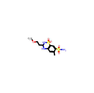 Cc1cc2c(cc1S(N)(=O)=O)S(=O)(=O)NC(CCO[N+](=O)[O-])N2